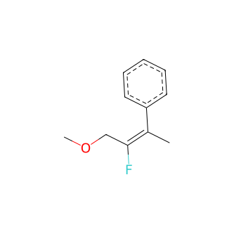 COC/C(F)=C(/C)c1ccccc1